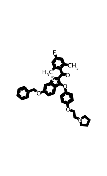 Cc1cc(F)cc(C)c1C(=O)c1sc2cc(OCc3ccccc3)ccc2c1Oc1ccc(OCCN2CCCC2)cc1